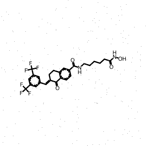 O=C(CCCCCNC(=O)c1ccc2c(c1)CC/C(=C\c1cc(C(F)(F)F)cc(C(F)(F)F)c1)C2=O)NO